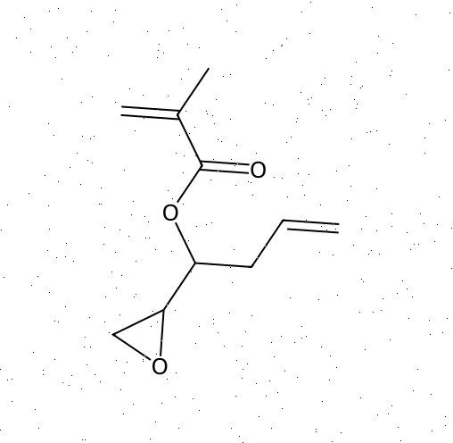 C=CCC(OC(=O)C(=C)C)C1CO1